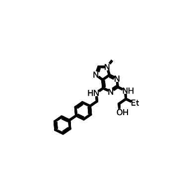 CCC(CO)Nc1nc(NCc2ccc(-c3ccccc3)cc2)c2ncn(C)c2n1